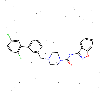 O=C(Nc1noc2ccccc12)N1CCN(Cc2cccc(-c3cc(Cl)ccc3Cl)c2)CC1